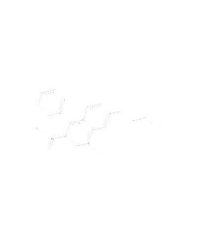 COC(=O)c1cc(OC(C)=O)c2cc(OCCOC(C)=O)ccc2c1-c1ccccc1